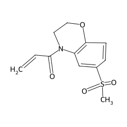 C=CC(=O)N1CCOc2ccc(S(C)(=O)=O)cc21